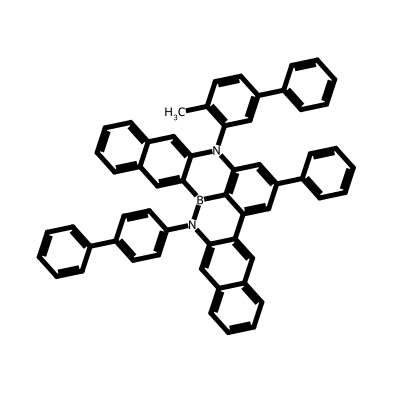 Cc1ccc(-c2ccccc2)cc1N1c2cc3ccccc3cc2B2c3c(cc(-c4ccccc4)cc31)-c1cc3ccccc3cc1N2c1ccc(-c2ccccc2)cc1